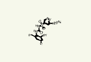 CC(=O)Nc1cc(S(=O)(=O)NC(=O)Nc2c(C(C)C)cc(Cl)cc2C(C)C)cnn1